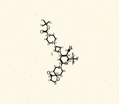 C[C@@H]1[C@H](N2CCN(C(=O)OC(C)(C)C)CC2)CN1c1cc(N2CCC3(CC2)OCCC3=O)nc(C(F)(F)F)c1C#N